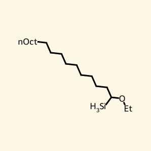 CCCCCCCCCCCCCCCCCC([SiH3])OCC